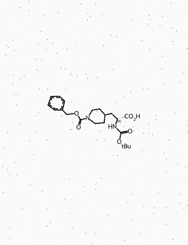 CC(C)(C)OC(=O)N[C@H](CC1CCN(C(=O)OCc2ccccc2)CC1)C(=O)O